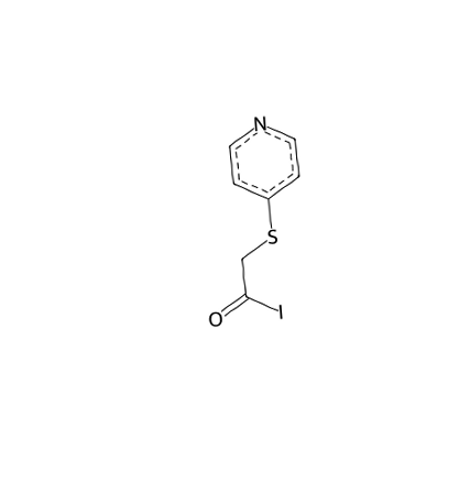 O=C(I)CSc1ccncc1